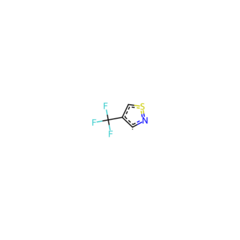 FC(F)(F)c1[c]nsc1